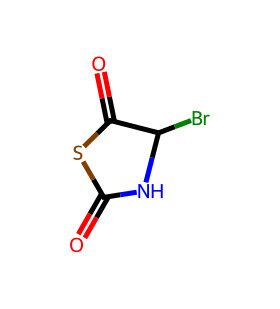 O=C1NC(Br)C(=O)S1